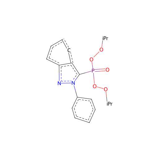 CC(C)OOP(=O)(OOC(C)C)c1c2ccccc2nn1-c1ccccc1